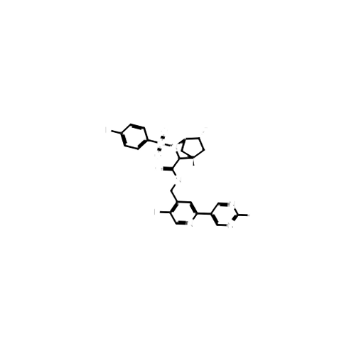 O=C(NCc1cc(-c2cnc(C(F)(F)F)nc2)ncc1F)C1[C@@H]2CC([C@H](F)C2)N1S(=O)(=O)c1ccc(F)cc1